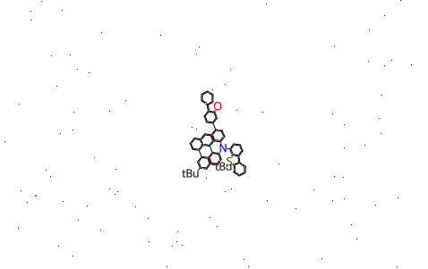 CC(C)(C)c1cc(-c2cccc3cccc(-c4ccccc4N(c4ccc(-c5ccc6c(c5)oc5ccccc56)cc4)c4cccc5c4sc4ccccc45)c23)cc(C(C)(C)C)c1